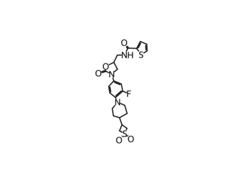 O=C(NCC1CN(c2ccc(N3CCC(C4CS(=O)(=O)C4)CC3)c(F)c2)C(=O)O1)c1cccs1